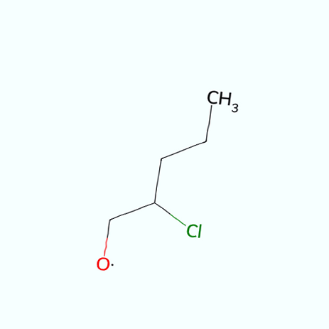 CCCC(Cl)C[O]